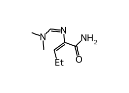 CC/C=C(/N=C\N(C)C)C(N)=O